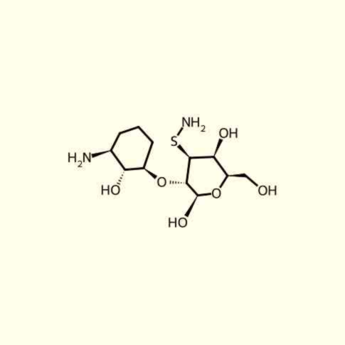 NS[C@H]1[C@@H](O)[C@@H](CO)O[C@@H](O)[C@@H]1O[C@@H]1CCC[C@H](N)[C@H]1O